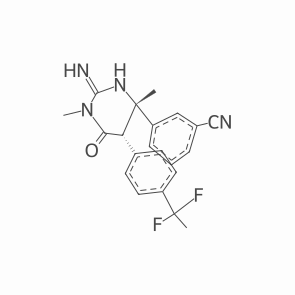 CN1C(=N)N[C@](C)(c2cccc(C#N)c2)[C@H](c2ccc(C(C)(F)F)cc2)C1=O